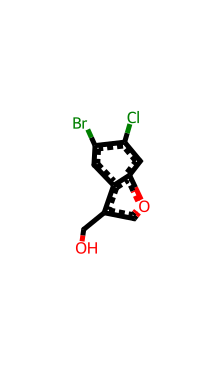 OCc1coc2cc(Cl)c(Br)cc12